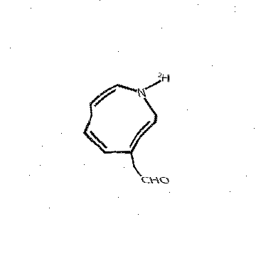 [2H]N1C=CC=CC(C=O)=C1